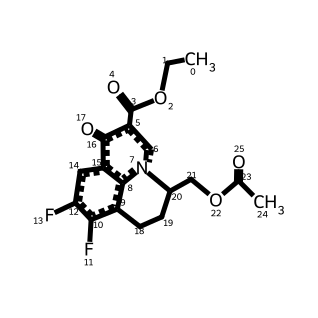 CCOC(=O)c1cn2c3c(c(F)c(F)cc3c1=O)CCC2COC(C)=O